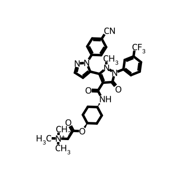 Cn1c(-c2ccnn2-c2ccc(C#N)cc2)c(C(=O)N[C@H]2CC[C@H](OC(=O)C[N+](C)(C)C)CC2)c(=O)n1-c1cccc(C(F)(F)F)c1